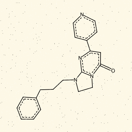 O=c1cc(-c2ccncc2)nc2n1CCN2CCCc1ccccc1